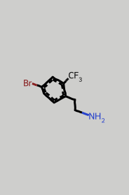 NCCc1ccc(Br)cc1C(F)(F)F